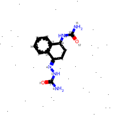 NC(=O)NN=C1CCC(NC(N)=O)c2ccccc21